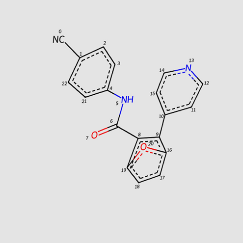 N#Cc1ccc(NC(=O)c2c(-c3ccncc3)c3ccc2o3)cc1